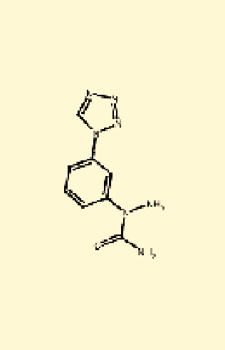 NC(=O)N(N)c1cccc(-n2cnnn2)c1